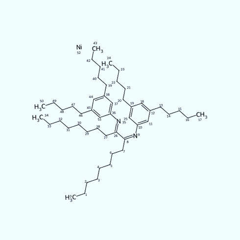 CCCCCCCCC(=Nc1cc(CCCCC)cc(CCCCC)c1)C(CCCCCCCC)=Nc1cc(CCCCC)cc(CCCCC)c1.[Ni]